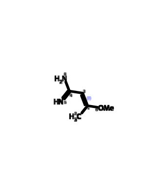 CO/C(C)=C/C(=N)N